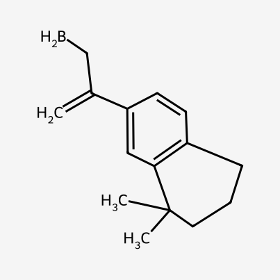 BCC(=C)c1ccc2c(c1)C(C)(C)CCC2